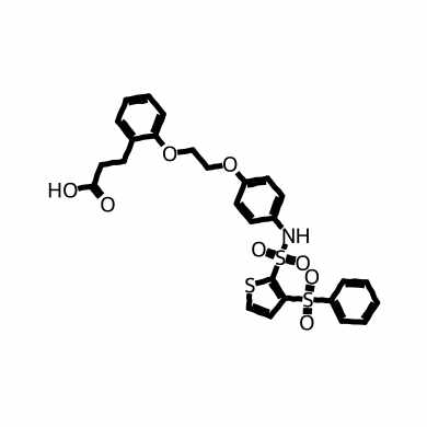 O=C(O)CCc1ccccc1OCCOc1ccc(NS(=O)(=O)c2sccc2S(=O)(=O)c2ccccc2)cc1